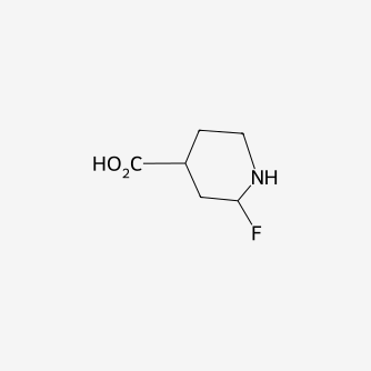 O=C(O)C1CCNC(F)C1